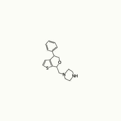 c1ccc(C2COC(CN3CCNCC3)c3sccc32)cc1